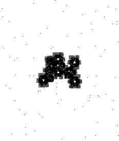 c1ccc(-c2cc(-c3cccc4c3Oc3ccccc3C43c4ccccc4-c4cc5c(cc43)oc3ccccc35)nc(-c3ccccc3)n2)cc1